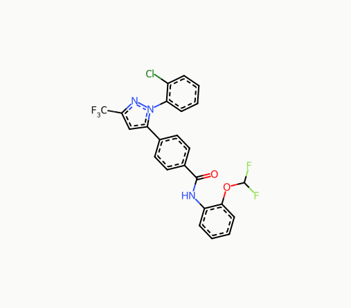 O=C(Nc1ccccc1OC(F)F)c1ccc(-c2cc(C(F)(F)F)nn2-c2ccccc2Cl)cc1